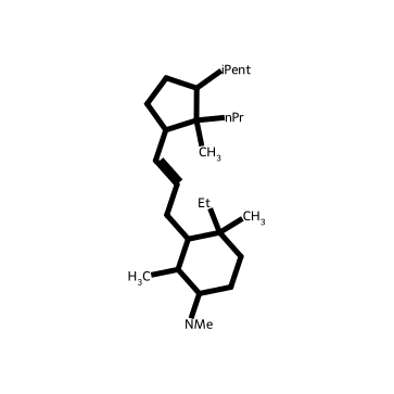 CCCC(C)C1CCC(/C=C/CC2C(C)C(NC)CCC2(C)CC)C1(C)CCC